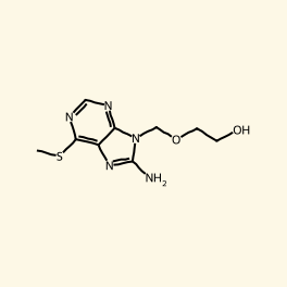 CSc1ncnc2c1nc(N)n2COCCO